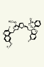 COC(=O)C1(CCCc2c(F)cnc3ccc(OC)cc23)CCN(CCN(c2cc(F)ccc2F)S(=O)(=O)c2ccccc2[N+](=O)[O-])C1